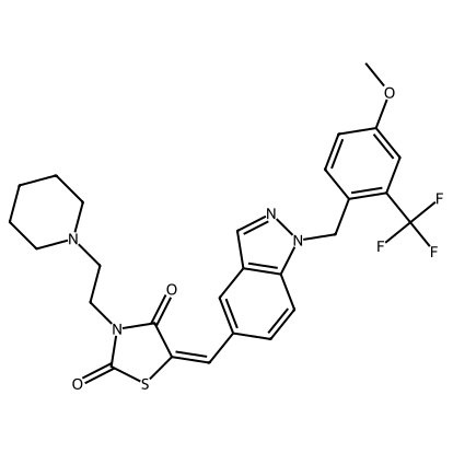 COc1ccc(Cn2ncc3cc(C=C4SC(=O)N(CCN5CCCCC5)C4=O)ccc32)c(C(F)(F)F)c1